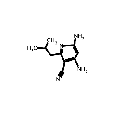 CC(C)Cc1nc(N)cc(N)c1C#N